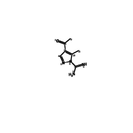 CC(=O)c1cnn(C(=N)N)c1C